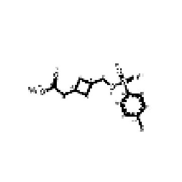 COC(=O)CC1CC(COS(=O)(=O)c2ccc(C)cc2)C1